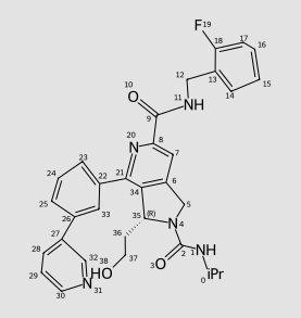 CC(C)NC(=O)N1Cc2cc(C(=O)NCc3ccccc3F)nc(-c3cccc(-c4cccnc4)c3)c2[C@H]1CCO